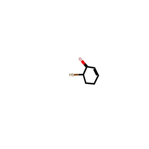 O=C1C=CCCC1S